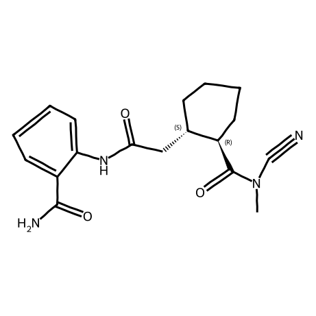 CN(C#N)C(=O)[C@@H]1CCCC[C@H]1CC(=O)Nc1ccccc1C(N)=O